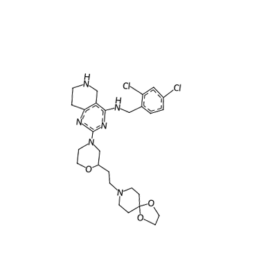 Clc1ccc(CNc2nc(N3CCOC(CCN4CCC5(CC4)OCCO5)C3)nc3c2CNCC3)c(Cl)c1